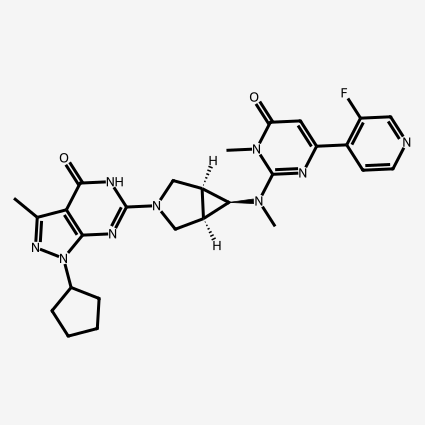 Cc1nn(C2CCCC2)c2nc(N3C[C@@H]4[C@H](C3)[C@@H]4N(C)c3nc(-c4ccncc4F)cc(=O)n3C)[nH]c(=O)c12